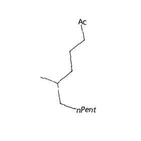 CCCCCCC(C)CCCC(C)=O